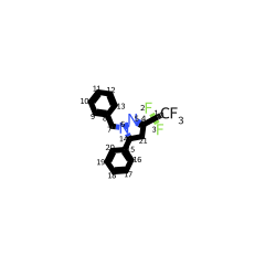 FC(F)(F)C(F)(F)C1=NN(Cc2ccccc2)C(c2ccccc2)C1